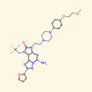 COCCOc1ccc(N2CCN(CCn3c(=O)n(CC(F)(F)F)c4c3nc(N)n3nc(-c5ccco5)nc43)CC2)cc1